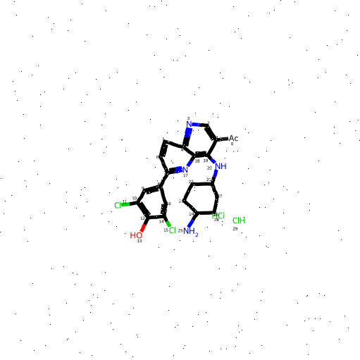 CC(=O)c1cnc2ccc(-c3cc(Cl)c(O)c(Cl)c3)nc2c1NC1CCC(N)CC1.Cl.Cl